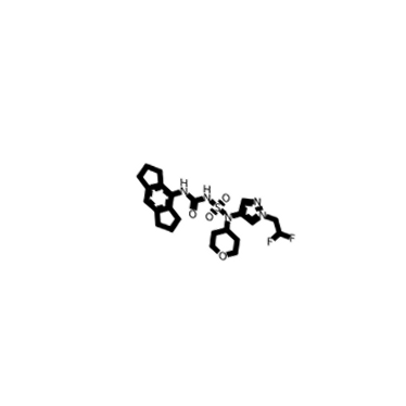 O=C(Nc1c2c(cc3c1CCC3)CCC2)NS(=O)(=O)N(c1cnn(CC(F)F)c1)C1CCOCC1